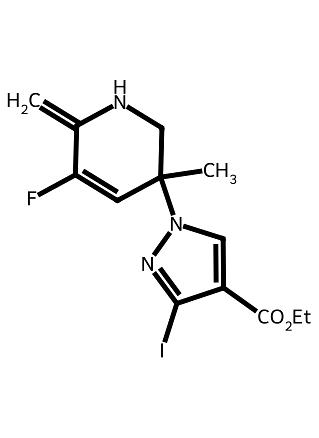 C=C1NCC(C)(n2cc(C(=O)OCC)c(I)n2)C=C1F